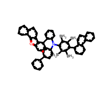 Bc1c(B)c(N(c2ccc(-c3ccccc3)cc2)c2ccccc2-c2cccc3oc4c5ccccc5ccc4c23)c(B)c(B)c1-c1cccc2c1ccc1ccccc12